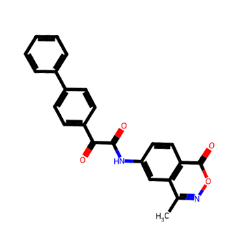 Cc1noc(=O)c2ccc(NC(=O)C(=O)c3ccc(-c4ccccc4)cc3)cc12